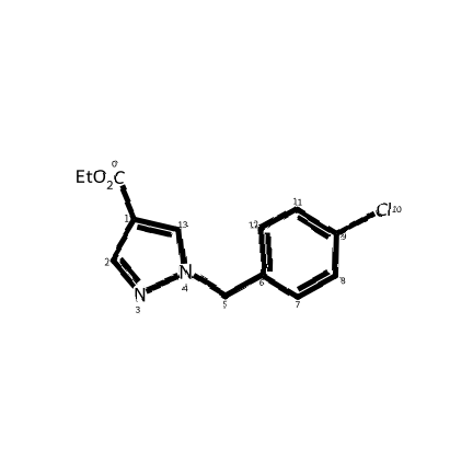 CCOC(=O)c1cnn(Cc2ccc(Cl)cc2)c1